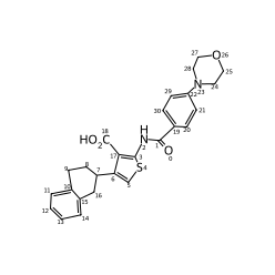 O=C(Nc1scc(C2CCc3ccccc3C2)c1C(=O)O)c1ccc(N2CCOCC2)cc1